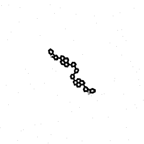 c1cc(-c2cccc(-c3ccc4ccc5c(-c6ccc7sc8ccccc8c7c6)ccc6ccc3c4c65)c2)cc(-c2cccc(-c3ccc4ccc5c(-c6ccc7sc8ccccc8c7c6)ccc6ccc3c4c65)c2)c1